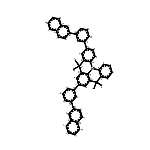 CC1(C)c2ccccc2N2c3ccc(-c4cccc(-c5ccc6ccccc6c5)c4)cc3C(C)(C)c3cc(-c4cccc(-c5ccc6ccccc6c5)c4)cc1c32